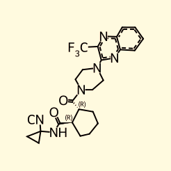 N#CC1(NC(=O)[C@@H]2CCCC[C@H]2C(=O)N2CCN(c3nc4ccccc4nc3C(F)(F)F)CC2)CC1